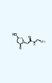 CCNC(=O)CN1CC(O)CC1=O